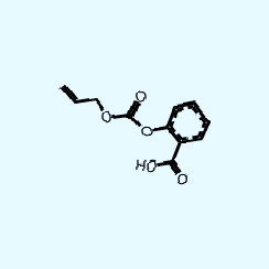 C=CCOC(=O)Oc1ccccc1C(=O)O